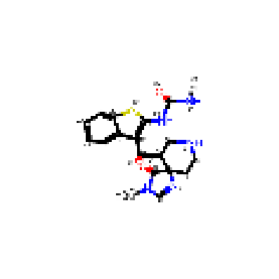 CCCCN1C=NC2(CCNCC2C(=O)c2c(NC(=O)NCC)sc3ccccc23)C1=O